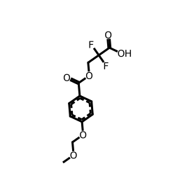 COCOc1ccc(C(=O)OCC(F)(F)C(=O)O)cc1